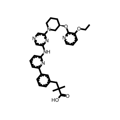 CCOc1cccnc1O[C@@H]1CCCN(c2cncc(Nc3cccc(-c4cccc(CC(C)(C)C(=O)O)c4)n3)n2)C1